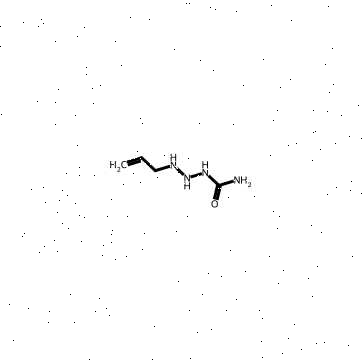 C=CCNNNC(N)=O